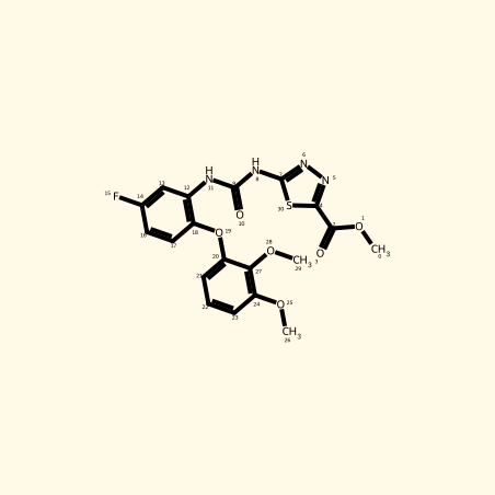 COC(=O)c1nnc(NC(=O)Nc2cc(F)ccc2Oc2cccc(OC)c2OC)s1